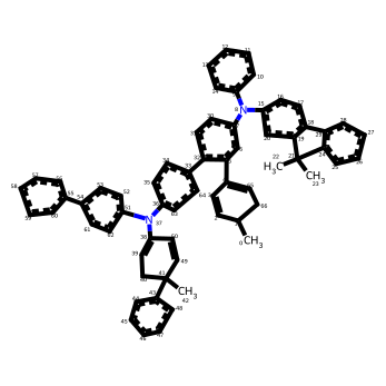 CC1C=CC(c2cc(N(c3ccccc3)c3ccc4c(c3)C(C)(C)c3ccccc3-4)ccc2-c2ccc(N(C3=CCC(C)(c4ccccc4)C=C3)c3ccc(-c4ccccc4)cc3)cc2)=CC1